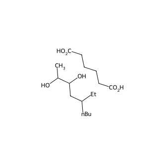 CCCCC(CC)CC(O)C(C)O.O=C(O)CCCCC(=O)O